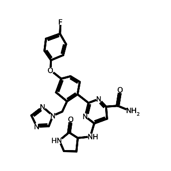 NC(=O)c1cc(NC2CCNC2=O)nc(-c2ccc(Oc3ccc(F)cc3)cc2Cn2cncn2)n1